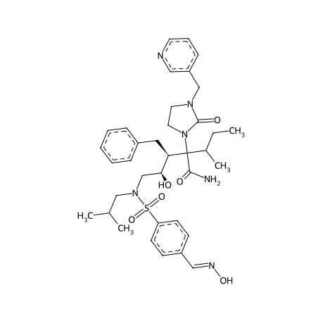 CCC(C)C(C(N)=O)([C@H](Cc1ccccc1)[C@@H](O)CN(CC(C)C)S(=O)(=O)c1ccc(C=NO)cc1)N1CCN(Cc2cccnc2)C1=O